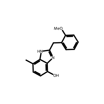 COc1ccccc1Cc1nc2c(O)ccc(C)c2[nH]1